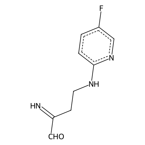 N=C(C=O)CCNc1ccc(F)cn1